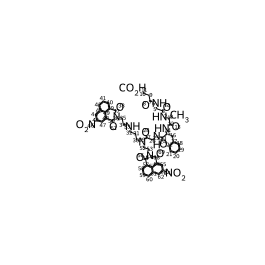 C[C@H](NC(=O)CNC(=O)CCC(=O)O)C(=O)N[C@@H](Cc1ccccc1)C(=O)NCC(=O)N(CCCNCCN1C(=O)c2cccc3cc([N+](=O)[O-])cc(c23)C1=O)CCN1C(=O)c2cccc3cc([N+](=O)[O-])cc(c23)C1=O